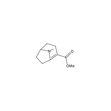 COC(=O)C1=C2CCC(CC1)N2C